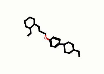 CCC1CCC(c2ccc(OCCCC3CCCCC3CC)cc2)CC1